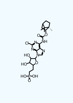 CC1(C)C2CC[C@@]1(C)C(OC(=O)Nc1nc(Cl)nc3c1ncn3C1OC(CCP(=O)(O)O)C(O)C1O)C2